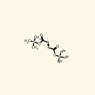 CCC[Si](CCC)(CCC)OC(=O)N=NC(=O)O[Si](C)(C)C